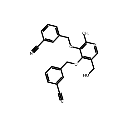 Cc1ncc(CO)c(OCc2cccc(C#N)c2)c1OCc1cccc(C#N)c1